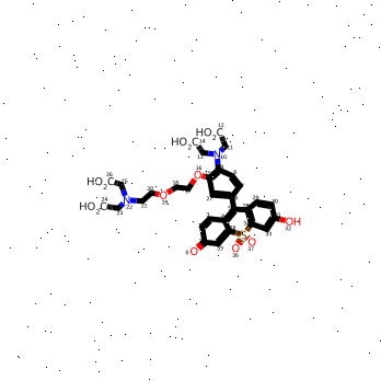 O=C1C=CC2=C(c3ccc(N(CC(=O)O)CC(=O)O)c(OCCOCCN(CC(=O)O)CC(=O)O)c3)c3ccc(O)cc3S(=O)(=O)C2=C1